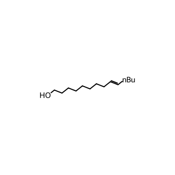 CCCC/C=C/CCCCCCCCO